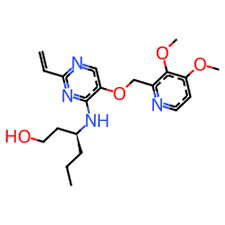 C=Cc1ncc(OCc2nccc(OC)c2OC)c(N[C@@H](CCC)CCO)n1